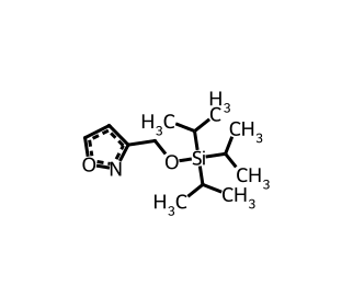 CC(C)[Si](OCc1ccon1)(C(C)C)C(C)C